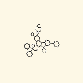 CCC1(CC)c2cc(-c3ccccc3)ccc2-c2c1c1c(c3cc(OC)c(N4CCOCC4)cc23)OC(c2ccccc2)(c2ccccc2)C=C1